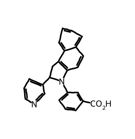 O=C(O)c1cccc(N2c3ccc4ccccc4c3CC2c2cccnc2)c1